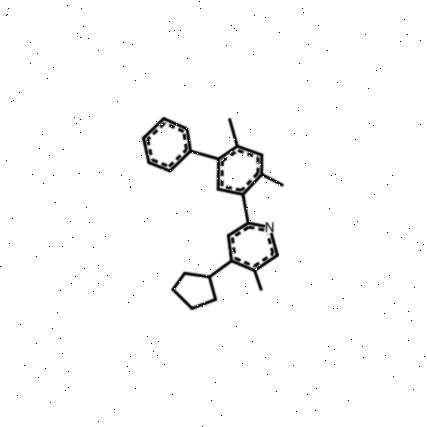 Cc1cc(C)c(-c2cc(C3CCCC3)c(C)cn2)cc1-c1ccccc1